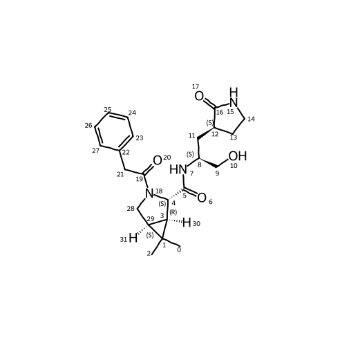 CC1(C)[C@@H]2[C@@H](C(=O)N[C@H](CO)C[C@@H]3CCNC3=O)N(C(=O)Cc3ccccc3)C[C@@H]21